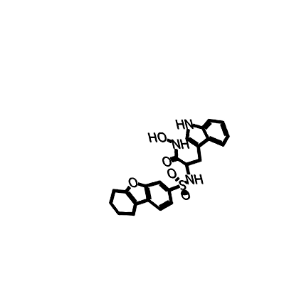 O=C(NO)C(Cc1c[nH]c2ccccc12)NS(=O)(=O)c1ccc2c3c(oc2c1)CCCC3